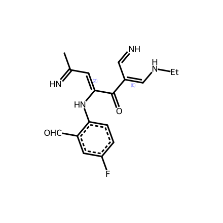 CCN/C=C(\C=N)C(=O)/C(=C/C(C)=N)Nc1ccc(F)cc1C=O